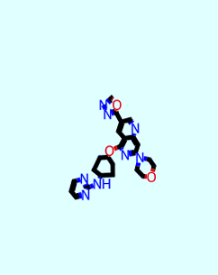 c1cnc(NC2CCC(Oc3nc(N4CCOCC4)cc4ncc(-c5nnco5)cc34)CC2)nc1